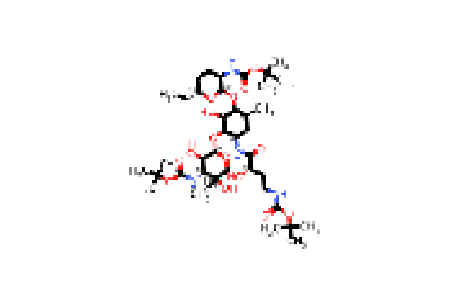 CC[C@@H]1CCC(NC(=O)OC(C)(C)C)[C@@H](OC2C(O)C(O[C@H]3OCC(C)(O)[C@H](N(C)C(=O)OC(C)(C)C)C3O)[C@H](NC(=O)[C@@H](O)CCNC(=O)OC(C)(C)C)C[C@@H]2C)O1